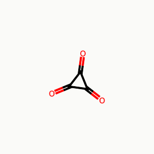 O=C1C(=O)C1=O